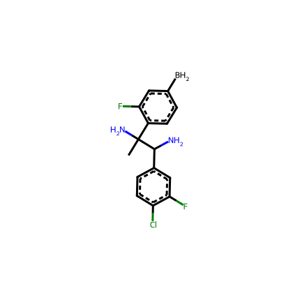 Bc1ccc(C(C)(N)C(N)c2ccc(Cl)c(F)c2)c(F)c1